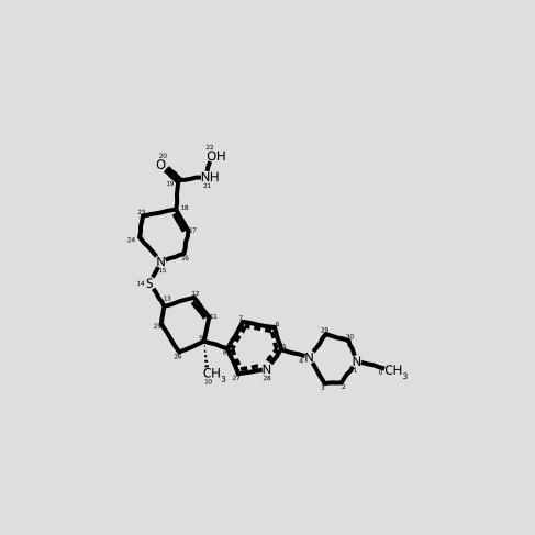 CN1CCN(c2ccc([C@]3(C)C=CC(SN4CC=C(C(=O)NO)CC4)CC3)cn2)CC1